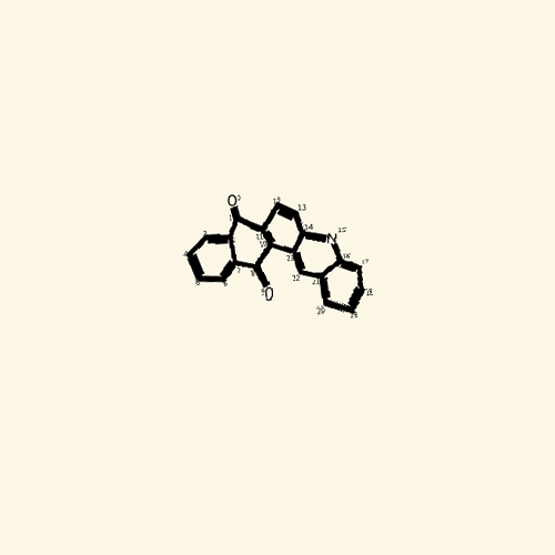 O=C1c2ccccc2C(=O)c2c1ccc1nc3ccccc3cc21